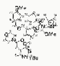 CCCCc1nc(C)c(CC(=O)N2CCOCC2)c(OCc2ccc(-c3ccccc3S(=O)(=O)N(COC)c3noc(C)c3C)c(COCc3ccc(OC)cc3)c2)n1